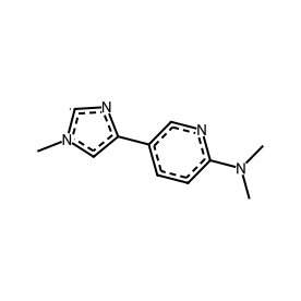 CN(C)c1ccc(-c2cn(C)[c]n2)cn1